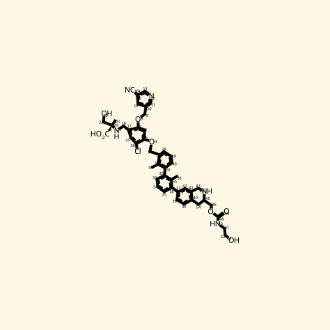 Cc1c(COc2cc(OCc3cncc(C#N)c3)c(CN[C@@](C)(CO)C(=O)O)cc2Cl)cccc1-c1cccc(-c2ccc3c(c2)CNC(COC(=O)NCCO)C3)c1C